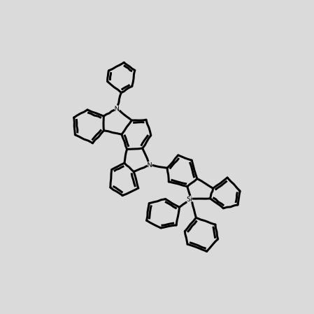 c1ccc(-n2c3ccccc3c3c4c5ccccc5n(-c5ccc6c(c5)[Si](c5ccccc5)(c5ccccc5)c5ccccc5-6)c4ccc32)cc1